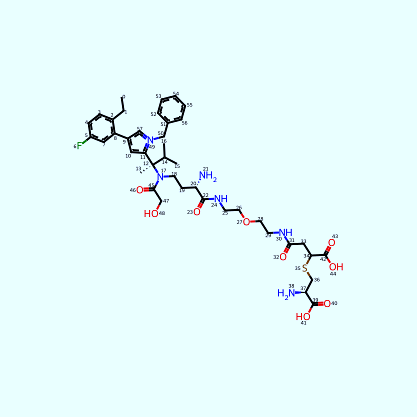 CCc1ccc(F)cc1-c1cc([C@@](C)(C(C)C)N(CC[C@H](N)C(=O)NCCOCCNC(=O)CC(SC[C@H](N)C(=O)O)C(=O)O)C(=O)CO)n(Cc2ccccc2)c1